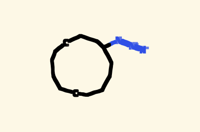 [N-]=[N+]=NC1CCCCCCCCCCCC1